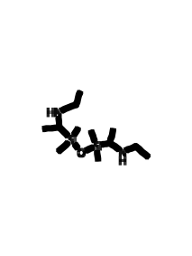 CCNC(C)[Si](C)(C)O[Si](C)(C)C(C)NCC